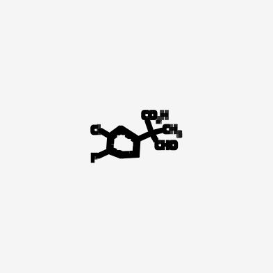 CC(C=O)(C(=O)O)c1ccc(F)c(Cl)c1